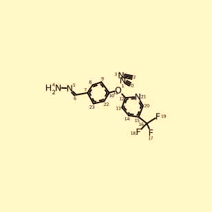 C#N.C#N.NN=Cc1ccc(Oc2ccc(C(F)(F)F)cn2)cc1